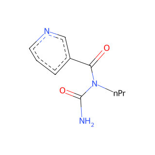 [CH2]CCN(C(N)=O)C(=O)c1cccnc1